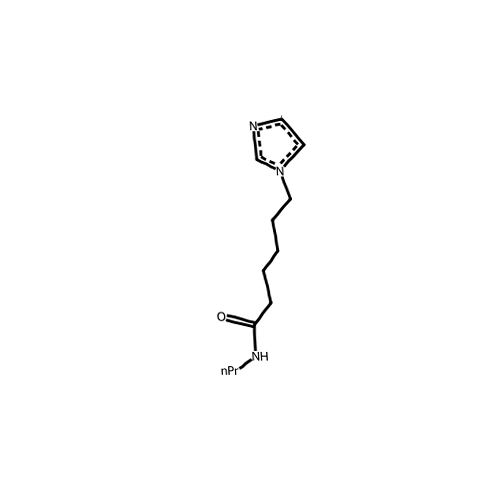 CCCNC(=O)CCCCCn1c[c]nc1